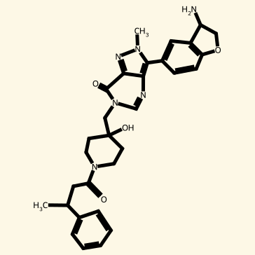 CC(CC(=O)N1CCC(O)(Cn2cnc3c(-c4ccc5c(c4)C(N)CO5)n(C)nc3c2=O)CC1)c1ccccc1